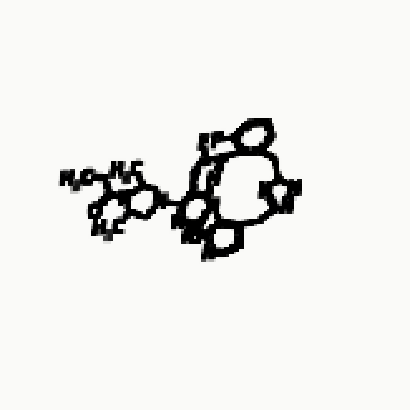 C=CC(=O)N1C(C)CN(c2nc(=O)n3c4nc(c(F)cc24)-c2c(F)cccc2CC2N=NC(=N2)Cc2ccnc(C(C)C)c2-3)CC1C